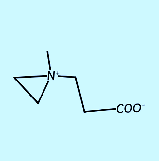 C[N+]1(CCC(=O)[O-])CC1